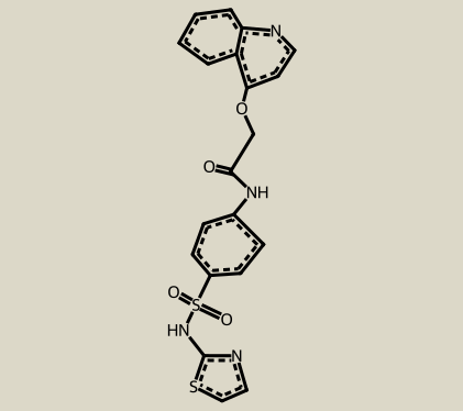 O=C(COc1ccnc2ccccc12)Nc1ccc(S(=O)(=O)Nc2nccs2)cc1